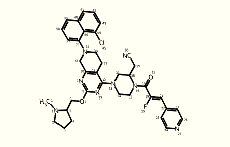 CN1CCCC1COc1nc2c(c(N3CCN(C(=O)/C(F)=C/c4ccncc4)C(CC#N)C3)n1)CCN(c1cccc3cccc(Cl)c13)C2